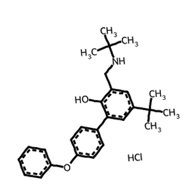 CC(C)(C)NCc1cc(C(C)(C)C)cc(-c2ccc(Oc3ccccc3)cc2)c1O.Cl